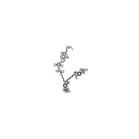 CCN1c2ccc(S(=O)(=O)O)cc2C(C)(C)C1/C=C/C=C/C=C1/N(CCCCCC(=O)NCCN2C(=O)CC(SC[C@@H](C)C(=O)N[C@H](CCCCN)C(N)=O)C2=O)c2ccc(S(=O)(=O)O)cc2C1(C)C